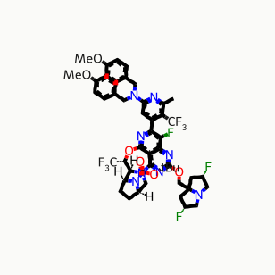 COc1ccc(CN(Cc2ccc(OC)cc2)c2cc(-c3nc4c5c(nc(OCC67C[C@H](F)CN6C[C@H](F)C7)nc5c3F)N3C[C@H]5CC[C@@H]([C@H]3[C@H](C(F)(F)F)O4)N5C(=O)OC(C)(C)C)c(C(F)(F)F)c(C)n2)cc1